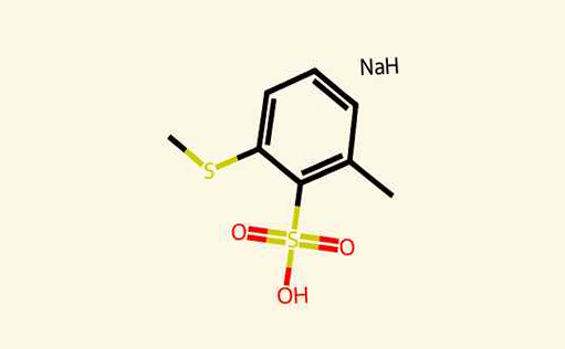 CSc1cccc(C)c1S(=O)(=O)O.[NaH]